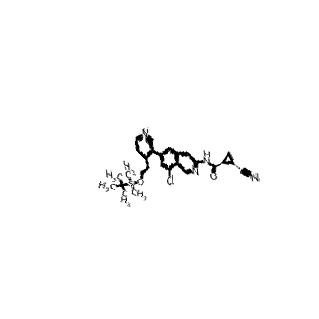 CC(C)(C)[Si](C)(C)OCCc1ccncc1-c1cc(Cl)c2cnc(NC(=O)[C@H]3C[C@@H]3C#N)cc2c1